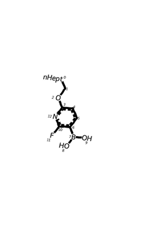 CCCCCCCCOc1ccc(B(O)O)c(F)n1